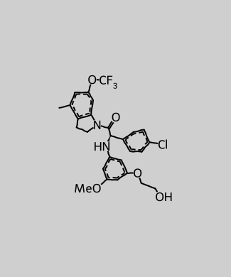 COc1cc(N[C@@H](C(=O)N2CCc3c(C)cc(OC(F)(F)F)cc32)c2ccc(Cl)cc2)cc(OCCO)c1